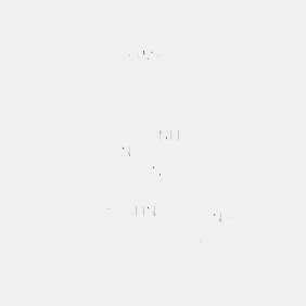 COc1ccc(Nc2ncc(F)c(NC3CC(C)(C)NC(C)(C)C3)n2)cc1OC(F)F